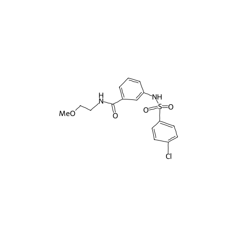 COCCNC(=O)c1cccc(NS(=O)(=O)c2ccc(Cl)cc2)c1